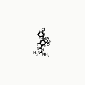 Cc1cc(Nc2cccc(Cl)c2)c(S(C)(=O)=O)cc1C(=O)N=C(N)N